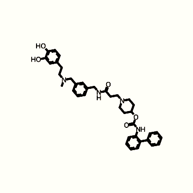 CN(CCc1ccc(O)c(O)c1)Cc1cccc(CNC(=O)CCN2CCC(OC(=O)Nc3ccccc3-c3ccccc3)CC2)c1